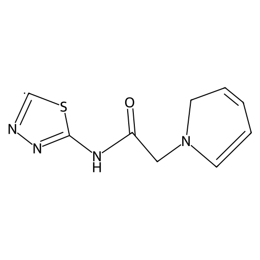 O=C(CN1C=CC=CC1)Nc1nn[c]s1